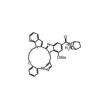 COc1cc(C(=O)N2CC3CCC2[C@@H]3N)cc2nc3n(c12)Cc1cnn(c1)-c1ccccc1OCCCn1c-3cc2cccnc21